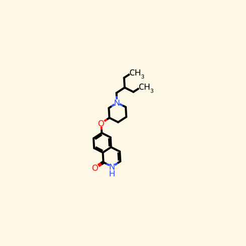 CCC(CC)CN1CCCC(Oc2ccc3c(=O)[nH]ccc3c2)C1